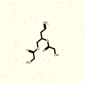 C=CCC(COC(=O)CO)OC(=O)CO